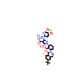 CC(C)(C)c1cc(F)c2c(=O)n(-c3cccc(-n4cc(C(N)=O)c(Nc5ccc(S(C)(=O)=O)cn5)n4)c3CO)ncc2c1